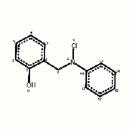 Oc1ccccc1CN(Cl)c1ccccc1